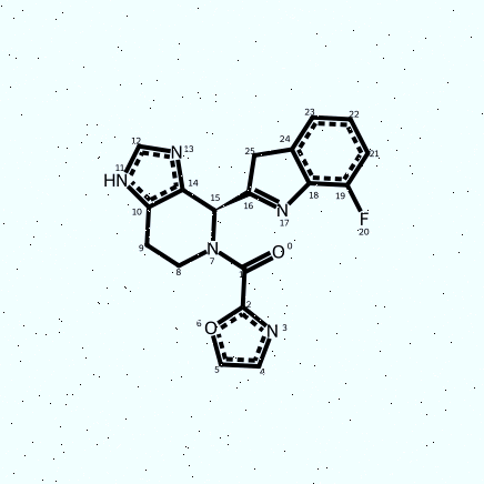 O=C(c1ncco1)N1CCc2[nH]cnc2[C@H]1C1=Nc2c(F)cccc2C1